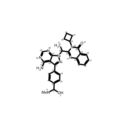 CNC(O)c1ccc(-c2nn(C(C)c3nc4ccccc4c(=O)n3C3CCC3)c3ncnc(N)c23)cc1